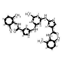 Cc1nc(Nc2ncc(C(=O)Nc3c(C)cccc3Cl)s2)nc(Nc2ncc(C(=O)Nc3c(C)cccc3Cl)s2)n1